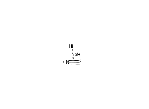 C#N.I.[NaH]